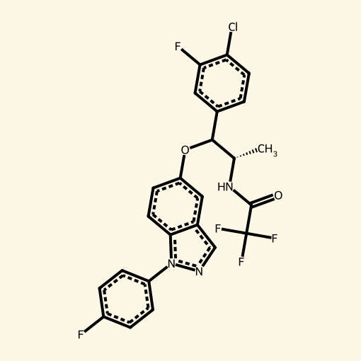 C[C@H](NC(=O)C(F)(F)F)C(Oc1ccc2c(cnn2-c2ccc(F)cc2)c1)c1ccc(Cl)c(F)c1